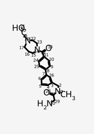 CN(Cc1cccc(-c2ccc(C(=O)N3CCCN(CCO)CC3)cc2)c1)C(=O)CN